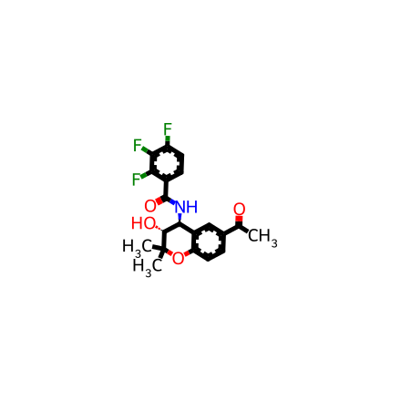 CC(=O)c1ccc2c(c1)[C@H](NC(=O)c1ccc(F)c(F)c1F)[C@@H](O)C(C)(C)O2